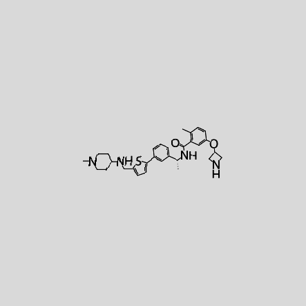 Cc1ccc(OC2CNC2)cc1C(=O)N[C@H](C)c1cccc(-c2ccc(CNC3CCN(C)CC3)s2)c1